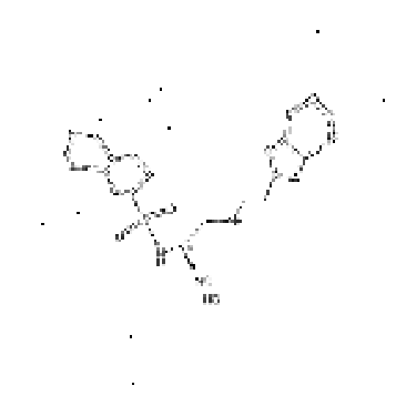 C[C@H](CNCCc1cc2ccccc2o1)NS(=O)(=O)c1ccc2cnccc2c1.Cl.Cl